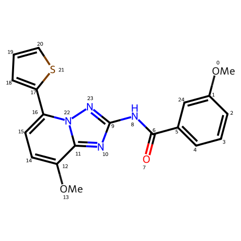 COc1cccc(C(=O)Nc2nc3c(OC)ccc(-c4cccs4)n3n2)c1